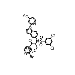 CC(=O)c1ccnc(-n2ccc3cc(N(C(CC(=O)O)C(=O)c4ccnc(Br)c4)S(=O)(=O)c4cc(Cl)cc(Cl)c4)ccc32)c1